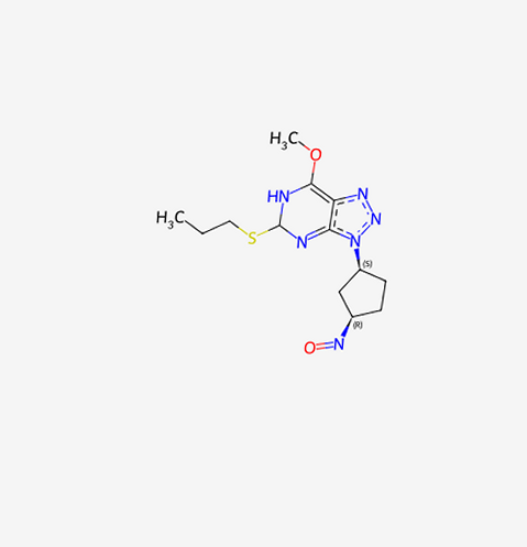 CCCSC1N=c2c(nnn2[C@H]2CC[C@@H](N=O)C2)=C(OC)N1